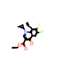 C#Cc1c(F)c(F)cc2c(=O)c(C(=O)OCC)cn(C3CC3)c12